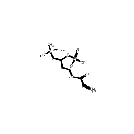 C=CC(=O)OCCC(C[N+](C)(C)C)OP(=O)([O-])O